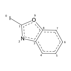 Ic1nc2ccccc2o1